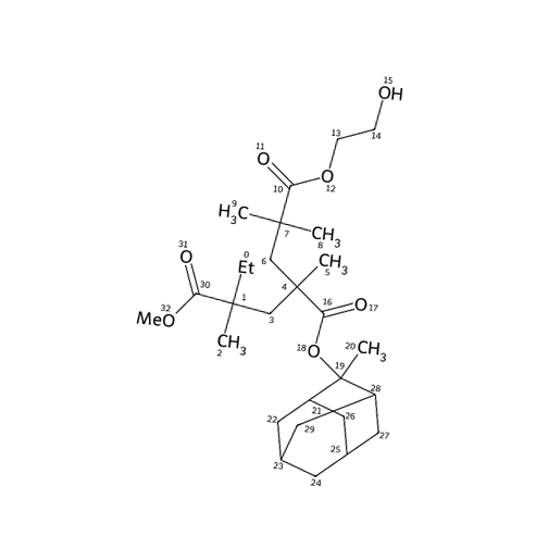 CCC(C)(CC(C)(CC(C)(C)C(=O)OCCO)C(=O)OC1(C)C2CC3CC(C2)CC1C3)C(=O)OC